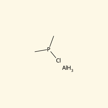 CP(C)Cl.[AlH3]